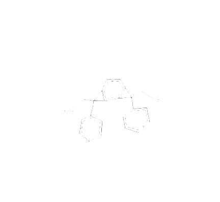 CC(C)(C)CC1(c2ccccc2)c2ccc3c(c21)C3(CC(C)(C)C)c1ccccc1